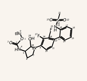 CC(C)(C)OC(=O)NC1CCN(c2ccc(-c3ccccc3NS(C)(=O)=O)c(F)c2F)C1O